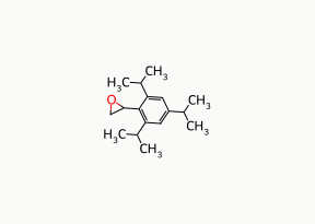 CC(C)c1cc(C(C)C)c(C2CO2)c(C(C)C)c1